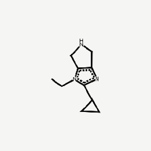 CCn1c(C2CC2)nc2c1CNC2